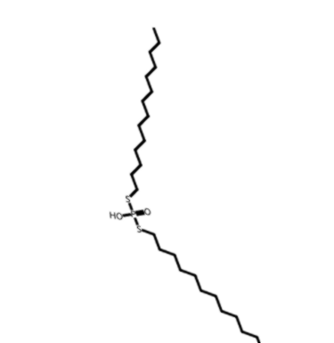 CCCCCCCCCCCCCCSP(=O)(O)SCCCCCCCCCCCCCC